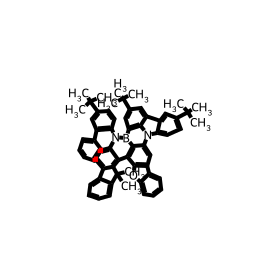 CC(C)(C)c1ccc(N2B3c4c(cc5c(oc6ccccc65)c4-c4c2ccc2c4C(C)(C)c4ccccc4-2)-n2c4ccc(C(C)(C)C)cc4c4cc(C(C)(C)C)cc3c42)c(-c2ccccc2)c1